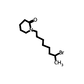 CC(Br)CCCCCCN1CCCCC1=O